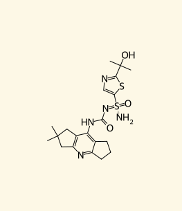 CC1(C)Cc2nc3c(c(NC(=O)N=[S@](N)(=O)c4cnc(C(C)(C)O)s4)c2C1)CCC3